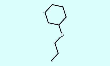 CCCOC1C[CH]CCC1